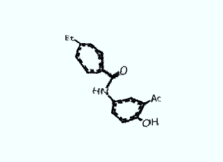 CCc1ccc(C(=O)Nc2ccc(O)c(C(C)=O)c2)cc1